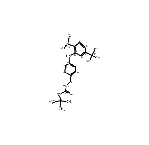 CC(C)(C)OC(=O)NCc1ccc(Nc2cc(C(F)(F)F)ccc2[N+](=O)[O-])cc1